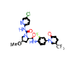 CO[C@@H]1C[C@H](C(=O)Nc2ccc(-n3cc(C(F)(F)F)ccc3=O)cc2F)N(C(=O)Nc2ccc(Cl)cn2)C1